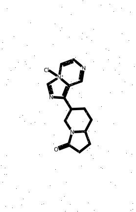 O=C1CCC2CCC(C3=C4C=NC=C[N+]4(Cl)C=N3)CN12